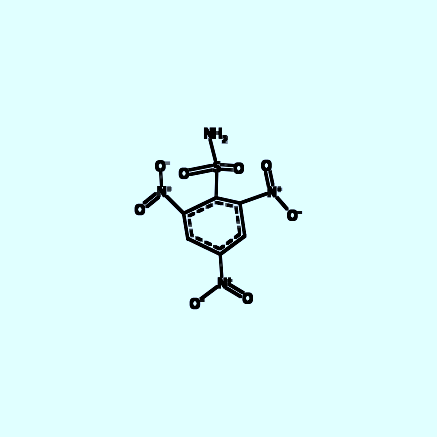 NS(=O)(=O)c1c([N+](=O)[O-])cc([N+](=O)[O-])cc1[N+](=O)[O-]